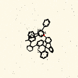 Cc1cnc(-c2ccccc2)cc1C1CCCCC1c1cccc2c1Sc1ccccc1C21c2ccccc2-c2ccc(-c3nc(-c4ccccc4)nc(-c4ccccc4)n3)cc21